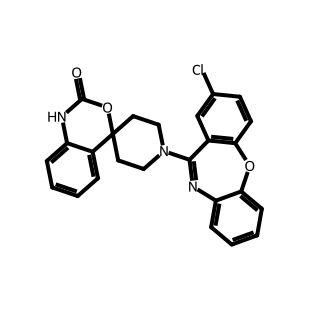 O=C1Nc2ccccc2C2(CCN(C3=Nc4ccccc4Oc4ccc(Cl)cc43)CC2)O1